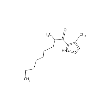 CCCCCCCC(C)C(=O)c1[nH]ccc1C